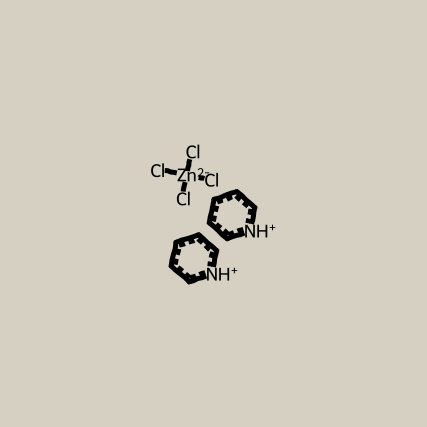 [Cl][Zn-2]([Cl])([Cl])[Cl].c1cc[nH+]cc1.c1cc[nH+]cc1